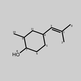 CC(C)=CC1CCC(O)C(C)C1